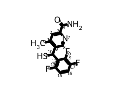 Cc1cc(C(N)=O)ncc1C(S)c1c(F)ccc(F)c1F